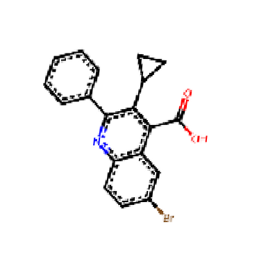 O=C(O)c1c(C2CC2)c(-c2ccccc2)nc2ccc(Br)cc12